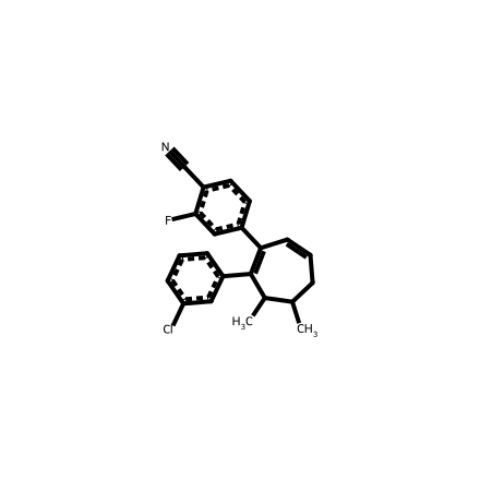 CC1CC=CC(c2ccc(C#N)c(F)c2)=C(c2cccc(Cl)c2)C1C